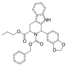 CCCOC(=O)C1Cc2c([nH]c3ccccc23)C(c2ccc3c(c2)OCO3)N1C(=O)OCc1ccccc1